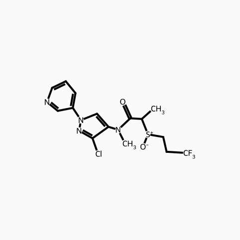 CC(C(=O)N(C)c1cn(-c2cccnc2)nc1Cl)[S+]([O-])CCC(F)(F)F